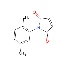 Cc1ccc(C)c(N2C(=O)C=CC2=O)c1